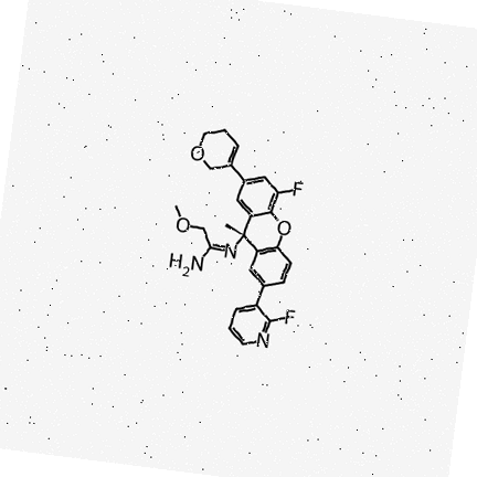 COC/C(N)=N\[C@@]1(C)c2cc(-c3cccnc3F)ccc2Oc2c(F)cc(C3=CCCOC3)cc21